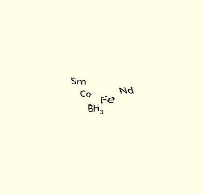 B.[Co].[Fe].[Nd].[Sm]